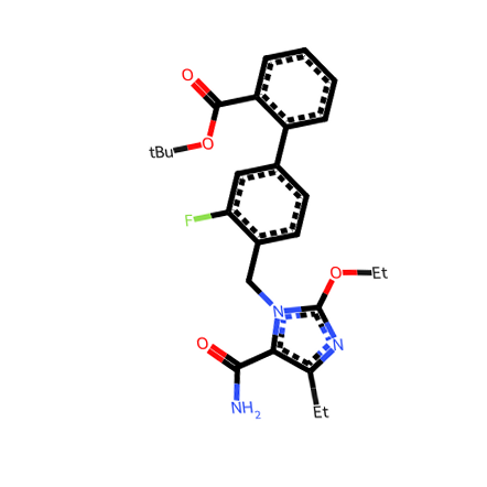 CCOc1nc(CC)c(C(N)=O)n1Cc1ccc(-c2ccccc2C(=O)OC(C)(C)C)cc1F